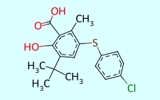 Cc1c(Sc2ccc(Cl)cc2)cc(C(C)(C)C)c(O)c1C(=O)O